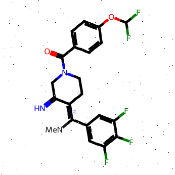 CN/C(=C1/CCN(C(=O)c2ccc(OC(F)F)cc2)CC1=N)c1cc(F)c(F)c(F)c1